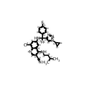 [2H]C(Nc1cc(Cl)c2ncc(C#N)c(NCCC(C)C)c2c1)(c1ccc(F)cc1)c1cn(C2CC2)nn1